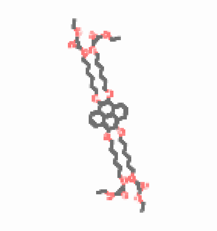 CCOC1OC1OCCCCCCOc1c(OCCCCCCOC2OC2OCC)c2cccc3c(OCCCCCCOC4OC4OCC)c(OCCCCCCOC4OC4OCC)c4cccc1c4c23